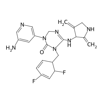 C=C1CNC(=C)C1NC1=NCN(c2cncc(N)c2)C(=O)N1CC1C=CC(F)=CC1F